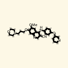 COc1cc2c(Nc3ccc(Oc4cccnc4)cc3)c(C#N)cnc2cc1OCCCN1CCOCC1